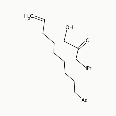 C=CCCCCCCCC(C)=O.CC(C)CC(=O)CO